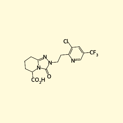 O=C(O)C1CCCc2nn(CCc3ncc(C(F)(F)F)cc3Cl)c(=O)n21